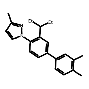 CCC(CC)c1cc(-c2ccc(C)c(C)c2)ccc1-n1ccc(C)n1